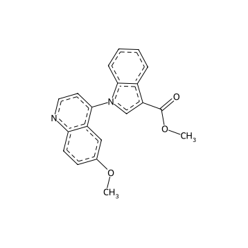 COC(=O)c1cn(-c2ccnc3ccc(OC)cc23)c2ccccc12